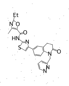 CCc1nc(C)c(C(=O)Nc2nc(-c3ccc4c(c3)CCC(=O)N4Cc3cccnn3)cs2)o1